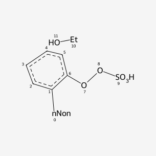 CCCCCCCCCc1ccccc1OOS(=O)(=O)O.CCO